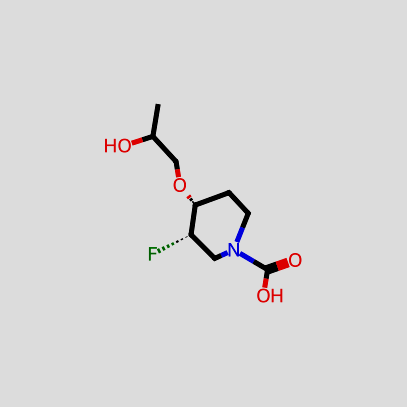 CC(O)CO[C@@H]1CCN(C(=O)O)C[C@@H]1F